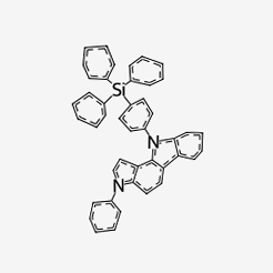 c1ccc(-n2ccc3c2ccc2c4ccccc4n(-c4ccc([Si](c5ccccc5)(c5ccccc5)c5ccccc5)cc4)c23)cc1